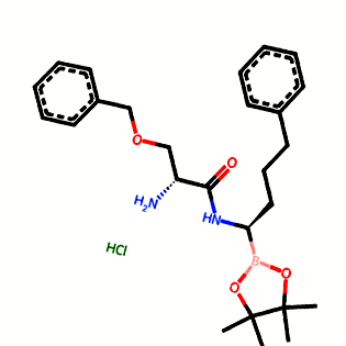 CC1(C)OB([C@H](CCCc2ccccc2)NC(=O)[C@H](N)COCc2ccccc2)OC1(C)C.Cl